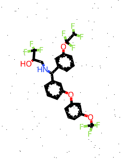 OC(CNC(c1cccc(Oc2cccc(OC(F)(F)F)c2)c1)c1cccc(OC(F)(F)C(F)F)c1)C(F)(F)F